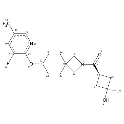 C[C@]1(O)C[C@@H](C(=O)N2CC3(CCC(Oc4ncc(C(F)(F)F)cc4F)CC3)C2)C1